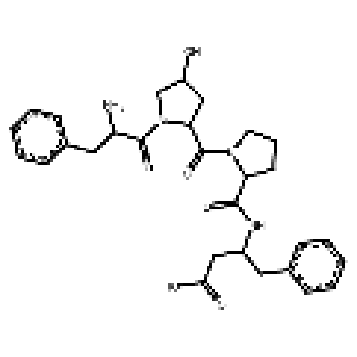 NC(Cc1ccccc1)C(=O)N1CC(O)CC1C(=O)N1CCCC1C(=O)NC(CC(=O)O)Cc1ccccc1